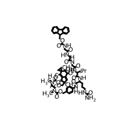 CC(=O)OC[C@]1(C)C=C2C(=O)[C@](C)(O)C3(CC3)C(C)=C2[C@H]1OC(=O)N(C)CCN(C)C(=O)OCc1ccc(NC(=O)C(CCCNC(N)=O)NC(=O)C(NC(=O)CNC(=O)CNC(=O)CNC(=O)OCC2c3ccccc3-c3ccccc32)C(C)C)cc1